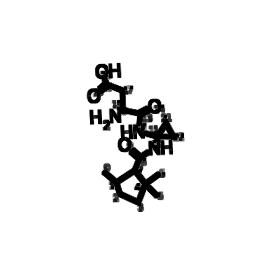 CC1CCC(C)(C)C1C(=O)NC1(NC(=O)[C@@H](N)CC(=O)O)CC1